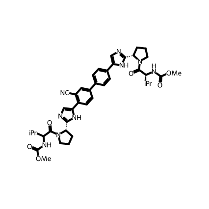 COC(=O)NC(C(=O)N1CCC[C@H]1c1ncc(-c2ccc(-c3ccc(-c4cnc([C@@H]5CCCN5C(=O)[C@@H](NC(=O)OC)C(C)C)[nH]4)cc3)cc2C#N)[nH]1)C(C)C